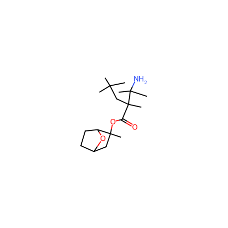 CC(C)(C)CC(C)(C(=O)OC1(C)CC2CCC1O2)C(C)(C)N